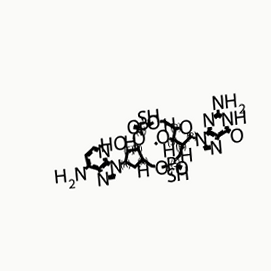 CO[C@H]1[C@H]2C[P@@](=O)(S)OC[C@H]3C[C@@H](n4cnc5c(N)ccnc54)[C@H](O)[C@@H]3O[P@@](=O)(S)OC[C@H]1O[C@H]2n1cnc2c(=O)[nH]c(N)nc21